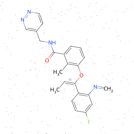 C=Nc1cc(F)ccc1/C(=C\C)Oc1cccc(C(=O)NCc2ccnnc2)c1C